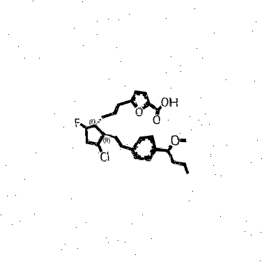 CCCC(OC)c1ccc(CC[C@H]2C(Cl)CC(F)[C@@H]2CCCc2ccc(C(=O)O)o2)cc1